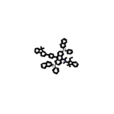 CCC1=C(/C(C)=C(\C)c2c3cc(N(c4ccccc4)c4ccc5ccccc5c4)ccc3c(-c3ccc(-c4ccc5c(c4)C(C)(C)c4ccccc4-5)cc3)c3cc(N(C4=CCCC=C4)c4ccc5ccccc5c4)ccc23)C(C)(C)c2ccccc21